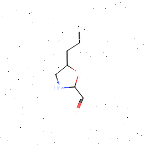 CCCC1CNC([C]=O)O1